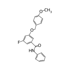 COc1ccc(COc2cc(F)cc(C(=O)Nc3ccccc3)c2)cc1